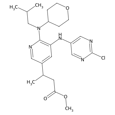 COC(=O)CC(C)c1cnc(N(CC(C)C)C2CCOCC2)c(Nc2cnc(Cl)nc2)c1